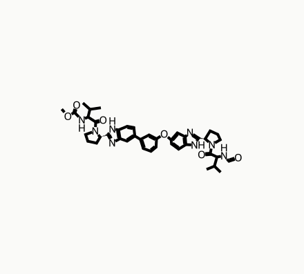 COC(=O)NC(C(=O)N1CCC[C@H]1c1nc2cc(-c3cccc(Oc4ccc5[nH]c([C@@H]6CCCN6C(=O)C(NC=O)C(C)C)nc5c4)c3)ccc2[nH]1)C(C)C